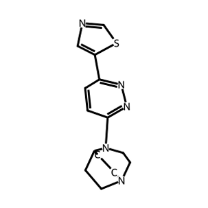 c1ncc(-c2ccc(N3CCN4CCC3CC4)nn2)s1